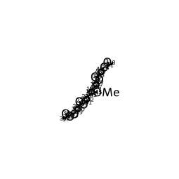 C=CC(=O)COc1ccc(C(=O)Oc2ccc(-c3ccc(-c4ccc(OC(=O)c5ccc(OCOC(=O)C=C)cc5)cc4)cc3OC)cc2)cc1